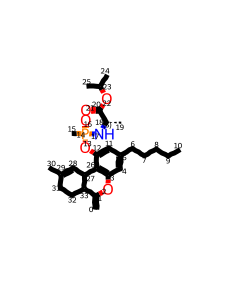 C=C1Oc2cc(CCCCC)cc(OP(C)(=O)N[C@@H](C)C(=O)OC(C)C)c2C2C=C(C)CCC12